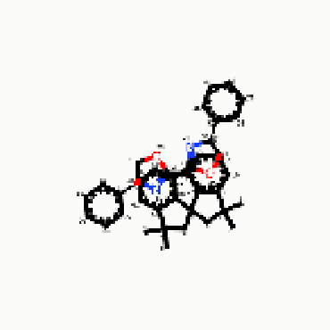 CC1(C)CC2(CC(C)(C)c3cccc(C4=N[C@@H](c5ccccc5)CO4)c32)c2c(C3=N[C@@H](c4ccccc4)CO3)cccc21